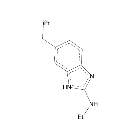 CCNc1nc2ccc(CC(C)C)cc2[nH]1